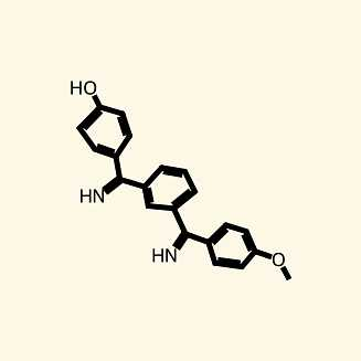 COc1ccc(C(=N)c2cccc(C(=N)c3ccc(O)cc3)c2)cc1